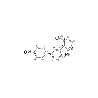 O=[N+]([O-])c1ccc(-c2ccc3[nH]c4nccc(Cl)c4c3c2)cc1